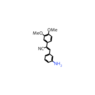 COc1ccc(/C(C#N)=C/c2cccc(N)c2)cc1OC